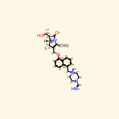 C[C@@H](O)[C@H]1C(=O)N2C(C=O)=C(COc3cccc4c(C[N+]5(C)CCN(C=N)CC5)cccc34)[C@H](C)[C@H]12